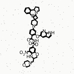 CC(C)c1ccccc1C1CCCN1C1CC2(CCN(c3ccc(C(=O)NS(=O)(=O)c4cc5c(c([N+](=O)[O-])c4)NC(CN4CCOCC4)CO5)c(Oc4cnc5[nH]ccc5c4)c3)CC2)C1